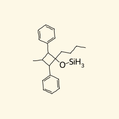 CCCCC1(O[SiH3])C(c2ccccc2)C(C)C1c1ccccc1